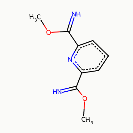 COC(=N)c1cccc(C(=N)OC)n1